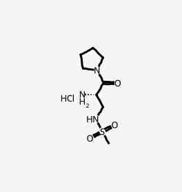 CS(=O)(=O)NC[C@H](N)C(=O)N1CCCC1.Cl